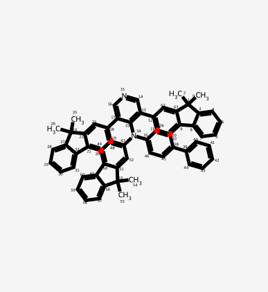 CC1(C)c2ccccc2-c2ccc(-c3cncc(-c4ccc5c(c4)C(C)(C)c4ccccc4-5)c3N(c3ccc(-c4ccccc4)cc3)c3ccc4c(c3)C(C)(C)c3ccccc3-4)cc21